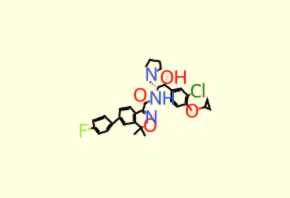 CC1(C)ON=C(C(=O)N[C@H](CN2CCCC2)[C@H](O)c2ccc(OC3CC3)c(Cl)c2)c2ccc(-c3ccc(F)cc3)cc21